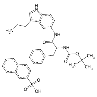 CC(C)(C)OC(=O)NC(Cc1ccccc1)C(=O)Nc1ccc2[nH]cc(CCN)c2c1.O=S(=O)(O)c1ccc2ccccc2c1